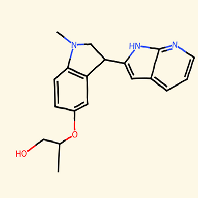 CC(CO)Oc1ccc2c(c1)C(c1cc3cccnc3[nH]1)CN2C